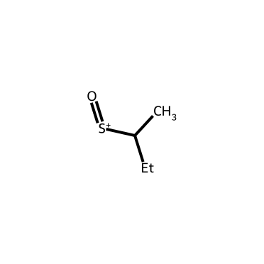 CCC(C)[S+]=O